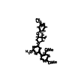 COc1ncc(-c2cc(N3CC(Oc4ccnc(C(F)(F)F)c4)C(F)(F)C3)nc(C)n2)c(OC)n1